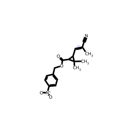 C/C(C#N)=C\C1C(C(=O)OCc2ccc([N+](=O)[O-])cc2)C1(C)C